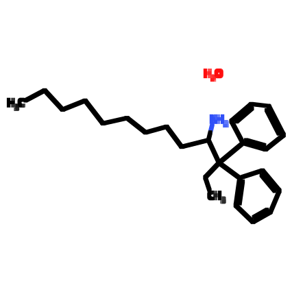 CCCCCCCCCC(N)C(CC)(c1ccccc1)c1ccccc1.O